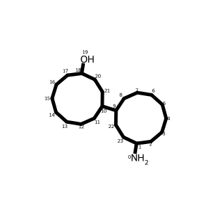 NC1CCCCCCCC(C2CCCCCCCC(O)CC2)CC1